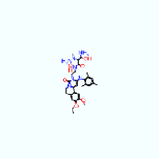 CCOc1cc2c(cc1OC)-c1c/c(=N\c3c(C)cc(C)cc3C)n(CCN(O)C(=O)/C(=C(/N)O)N(C)N)c(=O)n1CC2